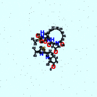 COc1ccc2c(OC3CC4C(=O)NC5(C(=O)NS(=O)(=O)C6CC6)CC5C=CCCCCCC(=O)N4C3)cc(-c3nc(C(C)C)cs3)nc2c1C